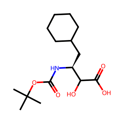 CC(C)(C)OC(=O)N[C@@H](CC1CCCCC1)C(O)C(=O)O